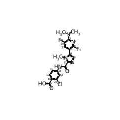 CN(C)c1nc(F)c(-c2cnc(C(=O)Nc3ccc(C(=O)O)c(Cl)c3)n2C)cc1F